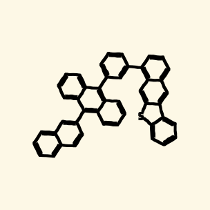 c1cc(-c2cccc3cc4c(cc23)sc2ccccc24)cc(-c2c3ccccc3c(-c3ccc4ccccc4c3)c3ccccc23)c1